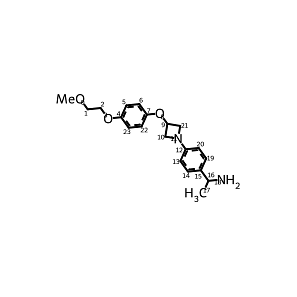 COCCOc1ccc(OC2CN(c3ccc(C(C)N)cc3)C2)cc1